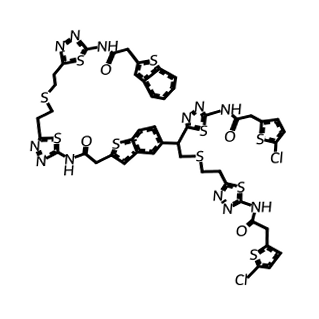 O=C(Cc1ccc(Cl)s1)Nc1nnc(CCSCC(c2ccc3sc(CC(=O)Nc4nnc(CCSCCc5nnc(NC(=O)Cc6cc7ccccc7s6)s5)s4)cc3c2)c2nnc(NC(=O)Cc3ccc(Cl)s3)s2)s1